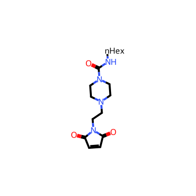 [CH2]CCCCCNC(=O)N1CCN(CCN2C(=O)C=CC2=O)CC1